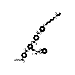 C=CC(=O)OCCCCCCOc1ccc(OC(=O)[C@H]2CC[C@H](C(=O)Oc3ccc(OC(=O)[C@H]4CC[C@H](C(=O)OC)CC4)c(/C=N/N(O)c4nc5ccccc5s4)c3)CC2)cc1